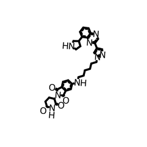 O=C1CCC(N2C(=O)c3ccc(NCCCCCCn4cc(-c5cnc6cccc(C7CCNC7)c6n5)cn4)cc3C2=O)C(=O)N1